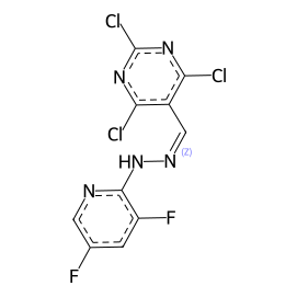 Fc1cnc(N/N=C\c2c(Cl)nc(Cl)nc2Cl)c(F)c1